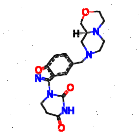 O=C1CCN(c2noc3ccc(CN4CCN5CCOC[C@@H]5C4)cc23)C(=O)N1